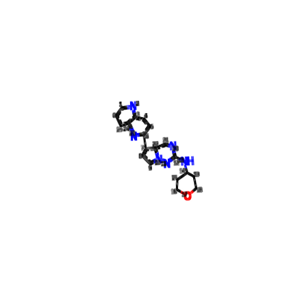 c1cnc2ccc(-c3ccn4nc(NC5CCOCC5)ncc34)nc2c1